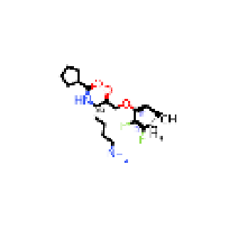 C#C/C=C(OCC(=O)[C@H](CCCCN)NC(=O)C1CCCC1)\C(F)=C(/C)F